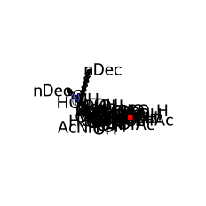 CCCCCCCCCCCCC/C=C/[C@@H](O)[C@H](CO[C@@H]1OC(CO)[C@@H](O[C@@H]2OC(CO)[C@H](O)[C@H](O[C@@H]3OC(CO)[C@@H](O[C@@H]4OC(CO[C@@H]5OC(CO)[C@@H](O)[C@H](O)C5NC(C)=O)[C@H](O)[C@H](O[C@@H]5OC(CO)[C@@H](O[C@@H]6OC(CO)[C@H](O)[C@H](O[C@]7(C(=O)O)CC(O)[C@@H](NC(C)=O)C([C@H](O)[C@H](O)CO)O7)C6O)[C@H](O)C5NC(C)=O)C4O)[C@H](O)C3NC(C)=O)C2O)[C@H](O)C1O)NC(=O)CCCCCCCCCCCCCCCCCCCCC